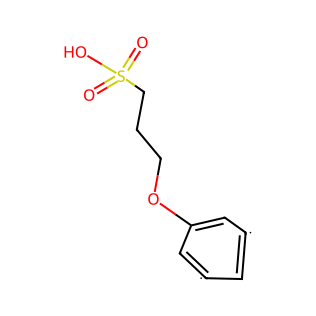 O=S(=O)(O)CCCOc1c[c]c[c]c1